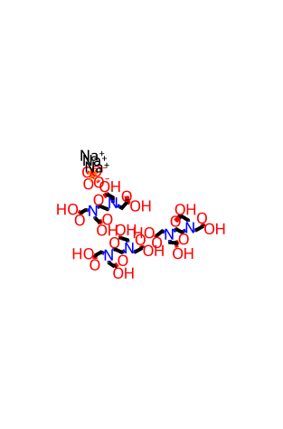 O=C(O)CN(CCN(CC(=O)O)CC(=O)O)CC(=O)O.O=C(O)CN(CCN(CC(=O)O)CC(=O)O)CC(=O)O.O=C(O)CN(CCN(CC(=O)O)CC(=O)O)CC(=O)O.O=P([O-])([O-])[O-].[Na+].[Na+].[Na+]